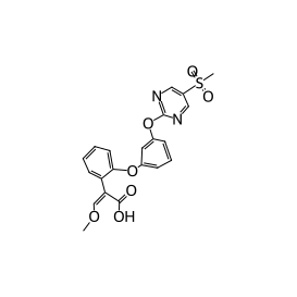 COC=C(C(=O)O)c1ccccc1Oc1cccc(Oc2ncc(S(C)(=O)=O)cn2)c1